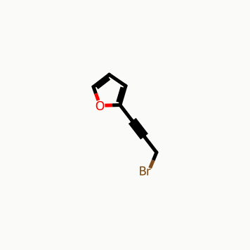 BrCC#Cc1ccco1